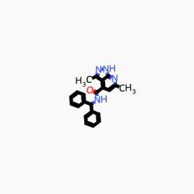 Cc1cc(C(=O)NC(c2ccccc2)c2ccccc2)c2c(C)n[nH]c2n1